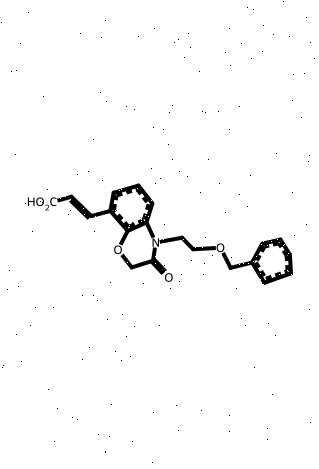 O=C(O)C=Cc1cccc2c1OCC(=O)N2CCOCc1ccccc1